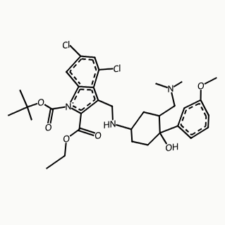 CCOC(=O)c1c(CNC2CCC(O)(c3cccc(OC)c3)C(CN(C)C)C2)c2c(Cl)cc(Cl)cc2n1C(=O)OC(C)(C)C